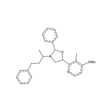 COc1ccnc(C2CN(C(C)CCc3ccccc3)C(c3ccccc3)O2)c1C